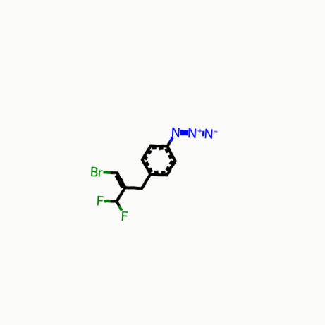 [N-]=[N+]=Nc1ccc(CC(=CBr)C(F)F)cc1